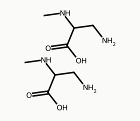 CNC(CN)C(=O)O.CNC(CN)C(=O)O